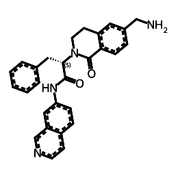 NCc1ccc2c(c1)CCN([C@@H](Cc1ccccc1)C(=O)Nc1ccc3ccncc3c1)C2=O